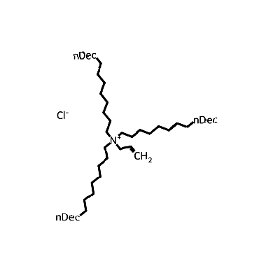 C=CC[N+](CCCCCCCCCCCCCCCCCC)(CCCCCCCCCCCCCCCCCC)CCCCCCCCCCCCCCCCCC.[Cl-]